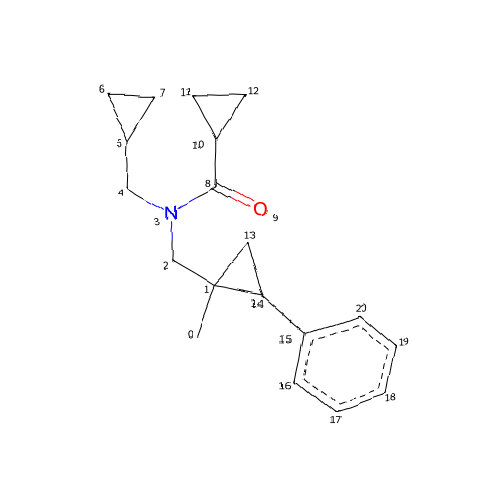 CC1(CN(CC2CC2)C(=O)C2CC2)CC1c1ccccc1